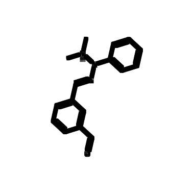 C[SiH](C)N(N=Cc1cccc(C=O)c1)c1ccccc1